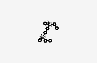 c1ccc(-c2cccc(-c3nc(-c4ccc(-c5ccc(-c6nc(-c7cccc(-c8ccccc8)c7)c7c(n6)oc6ccccc67)cc5)cc4)c4c(n3)oc3ccccc34)c2)cc1